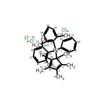 CC1=C(C)C(C)([Si](c2ccccc2)(c2c(C)cccc2C)c2c(C)cccc2C)[C]([Ti+3])=C1C.[Cl-].[Cl-].[Cl-]